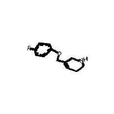 Fc1ccc(OCC2=CCCNC2)cc1